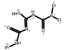 CCN(CC)C(=O)NC(=NC(=O)NC(C)C)SC